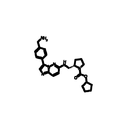 NCc1ccc(-c2cnc3ccc(NC[C@@H]4CCCN4C(=O)OC4CCCC4)nn23)cc1